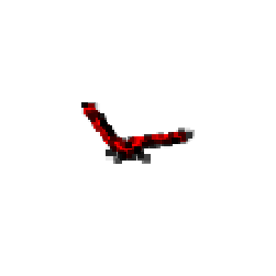 C[Si](C)(CSc1ncc(COCCOCCOCCOCCOCCOCCN=[N+]=[N-])cn1)O[Si](C)(C)CSc1ncc(COCCOCCOCCOCCOCCOCCN=[N+]=[N-])cn1